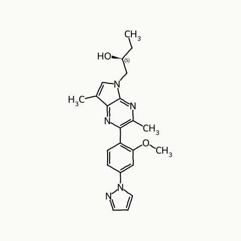 CC[C@H](O)Cn1cc(C)c2nc(-c3ccc(-n4cccn4)cc3OC)c(C)nc21